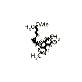 CO/C(C)=C/C=C/[C@@H]1CC1COc1nc(C)ncc1-c1cc(=O)n(C)cc1SC